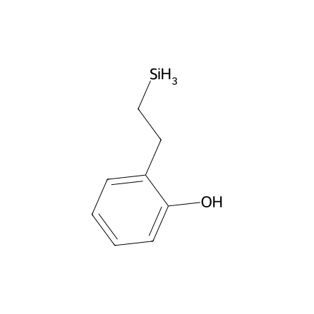 Oc1ccccc1CC[SiH3]